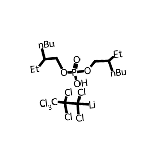 CCCCC(CC)COP(=O)(O)OCC(CC)CCCC.[Li][C](Cl)(Cl)C(Cl)(Cl)C(Cl)(Cl)Cl